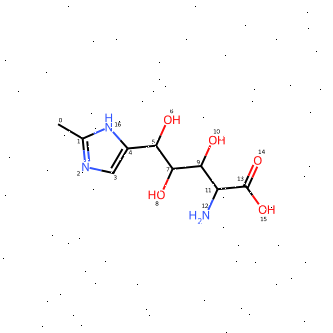 Cc1ncc(C(O)C(O)C(O)C(N)C(=O)O)[nH]1